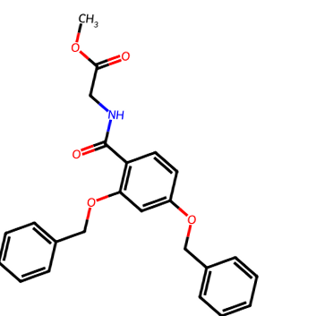 COC(=O)CNC(=O)c1ccc(OCc2ccccc2)cc1OCc1ccccc1